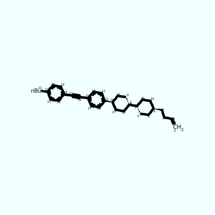 C=CCC[C@H]1CC[C@H]([C@H]2CC[C@H](c3ccc(C#Cc4ccc(CCCC)cc4)cc3)CC2)CC1